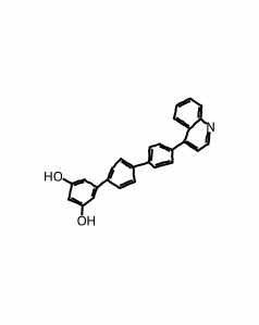 Oc1cc(O)cc(-c2ccc(-c3ccc(-c4ccnc5ccccc45)cc3)cc2)c1